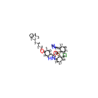 CCCCC=CCOc1ccc(C(=O)Nc2cccc(Cl)c2Sc2ccccc2C#N)cc1